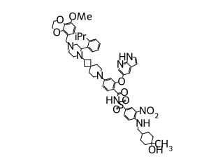 COc1ccc(CN2CCN(C3CC4(CCN(c5ccc(C(=O)NS(=O)(=O)c6ccc(NCC7CCC(C)(O)CC7)c([N+](=O)[O-])c6)c(Oc6cnc7[nH]ccc7c6)c5)CC4)C3)C(c3ccccc3C(C)C)C2)c2c1OCCO2